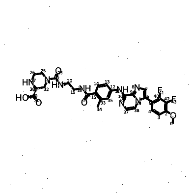 COc1ccc(-c2cnc3c(Nc4ccc(C(=O)NCCNC(=O)N5CCN[C@H](C(=O)O)C5)c(C)c4)nccn23)c(F)c1F